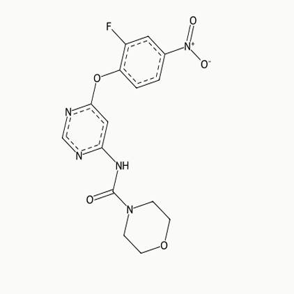 O=C(Nc1cc(Oc2ccc([N+](=O)[O-])cc2F)ncn1)N1CCOCC1